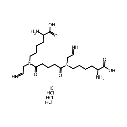 Cl.Cl.Cl.Cl.N=CCN(CCCCC(N)C(=O)O)C(=O)CCCC(=O)N(CC=N)CCCCC(N)C(=O)O